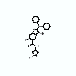 CCc1c(C(c2ccccc2)c2ccccc2)nc2cc(F)c(C(=O)Nc3cnn(CC)c3)cn12